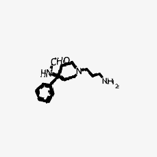 NCCCN1CCC(NC=O)(c2ccccc2)CC1